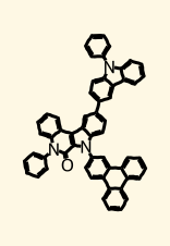 O=c1c2c(c3ccccc3n1-c1ccccc1)c1cc(-c3ccc4c(c3)c3ccccc3n4-c3ccccc3)ccc1n2-c1ccc2c3ccccc3c3ccccc3c2c1